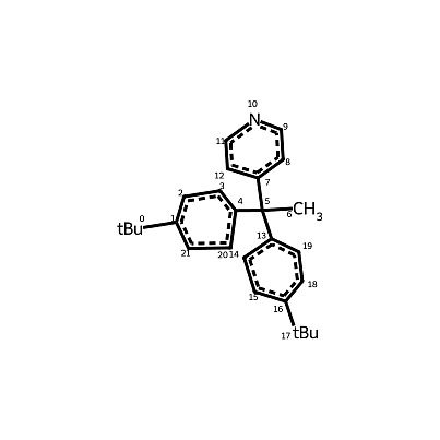 CC(C)(C)c1ccc(C(C)(c2ccncc2)c2ccc(C(C)(C)C)cc2)cc1